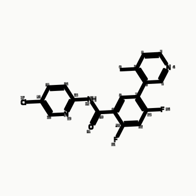 Cc1ccncc1-c1cc(C(=O)Nc2ccc(Cl)cn2)c(F)cc1F